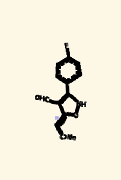 CO/C=C1\ONC(c2ccc(F)cc2)=C1C=O